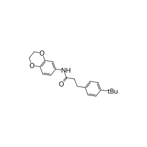 CC(C)(C)c1ccc(CCC(=O)Nc2ccc3c(c2)OCCO3)cc1